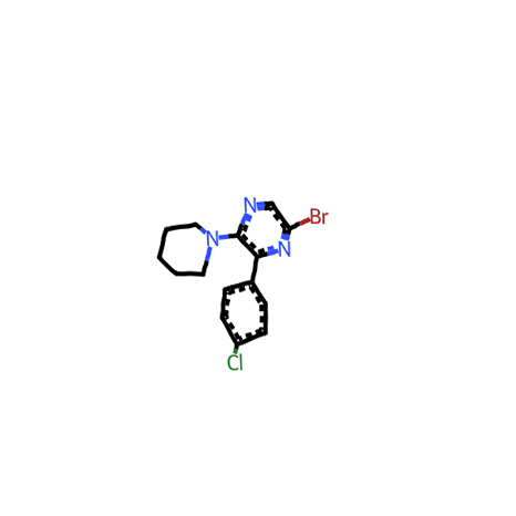 Clc1ccc(-c2nc(Br)cnc2N2CCCCC2)cc1